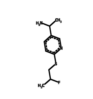 CC(F)CSc1ccc(C(C)N)cn1